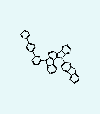 c1ccc(-c2ccc(-c3cccc(-n4c5ccccc5c5c4ccc4c6ccccc6n(-c6ccc7c(c6)sc6ccccc67)c45)c3)cc2)cc1